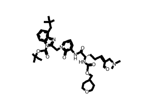 CN(C)C/C(C=O)=C/CC[C@H](NC(=O)OCC1CCOCC1)C(=O)Nc1cccn(Cc2nc3c(CC(C)(C)C)cccc3n2C(=O)OC(C)(C)C)c1=O